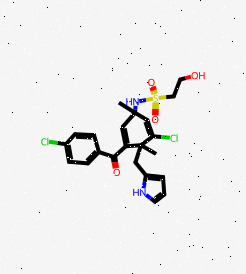 CC1(NS(=O)(=O)CCO)C=C(Cl)C(C)(Cc2ccc[nH]2)C(C(=O)c2ccc(Cl)cc2)=C1